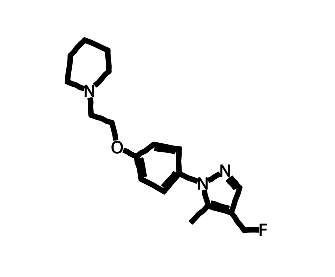 Cc1c(CF)cnn1-c1ccc(OCCN2CCCCC2)cc1